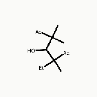 CCC(C)(C(C)=O)C(O)C(C)(C)C(C)=O